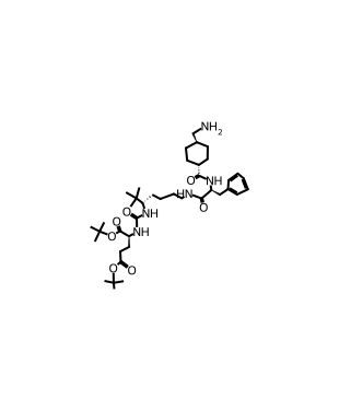 CC(C)(C)OC(=O)CC[C@H](NC(=O)N[C@@H](CCCCNC(=O)[C@H](Cc1ccccc1)NC(=O)[C@H]1CC[C@H](CN)CC1)C(C)(C)C)C(=O)OC(C)(C)C